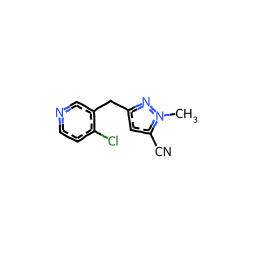 Cn1nc(Cc2cnccc2Cl)cc1C#N